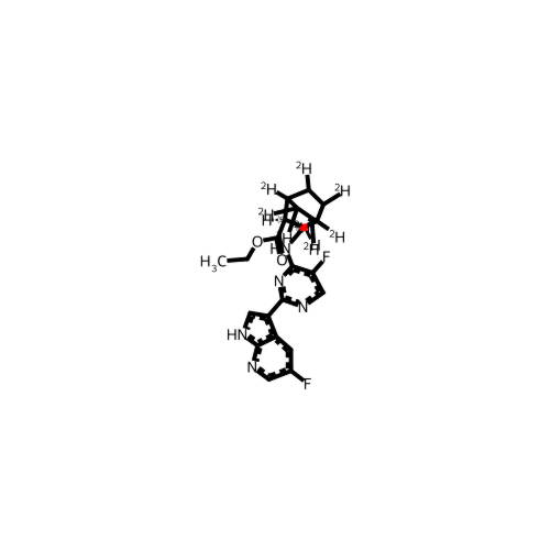 [2H]C1C([2H])C2([2H])[C@H](C(=O)OCC)[C@@H](Nc3nc(-c4c[nH]c5ncc(F)cc45)ncc3F)C1([2H])C([2H])([2H])C2([2H])[2H]